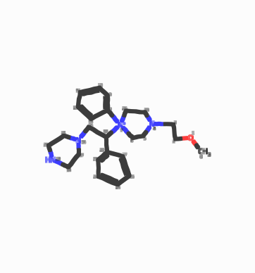 COCCN1CC[N+](c2ccccc2)(C(CN2CCNCC2)c2ccccc2)CC1